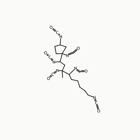 CC(CC(N=C=O)C1(N=C=O)CCC(N=C=O)C1)(N=C=O)C(CCCCCN=C=O)N=C=O